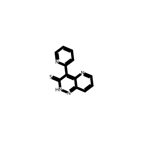 S=c1[nH]nc2cccnc2c1-c1ccccn1